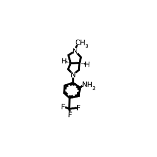 CN1C[C@@H]2CN(c3ccc(C(F)(F)F)cc3N)C[C@@H]2C1